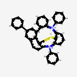 c1ccc(-c2cc3ccc4c5sc6c(cccc6n4-c4ccccc4)n(-c4ccccc4)c4ccccc4c(c2)c35)cc1